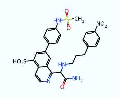 CS(=O)(=O)Nc1ccc(-c2cc(S(=O)(=O)O)c3ccnc(C(NCCCc4ccc([N+](=O)[O-])cc4)C(N)=O)c3c2)cc1